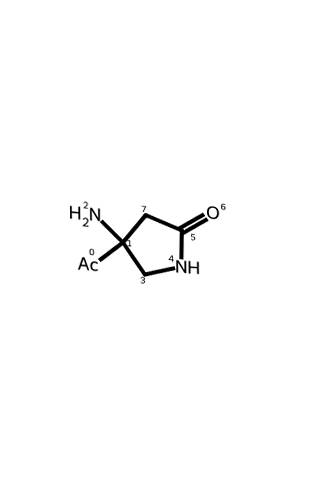 CC(=O)C1(N)CNC(=O)C1